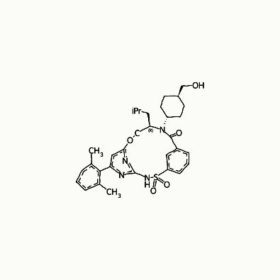 Cc1cccc(C)c1-c1cc2nc(n1)NS(=O)(=O)c1cccc(c1)C(=O)N([C@H]1CC[C@H](CO)CC1)[C@H](CC(C)C)CO2